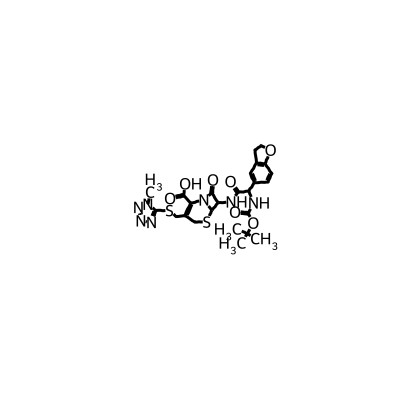 Cn1nnnc1SCC1=C(C(=O)O)N2C(=O)C(NC(=O)C(NC(=O)OC(C)(C)C)c3ccc4c(c3)CCO4)C2SC1